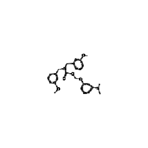 COc1cccc(CN(Cc2cccc(OC)c2)C(=O)OCOc2cccc(N(C)C)c2)c1